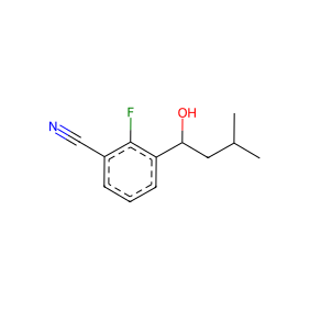 CC(C)CC(O)c1cccc(C#N)c1F